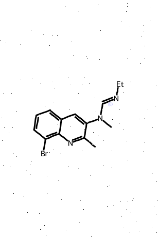 CC/N=C/N(C)c1cc2cccc(Br)c2nc1C